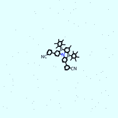 Cc1cc2c3c(c1)B(c1c(C)c(C)c(C)c(C)c1C)c1cc(-c4cccc(C#N)c4)ccc1N3c1ccc(-c3cccc(C#N)c3)cc1B2c1c(C)c(C)c(C)c(C)c1C